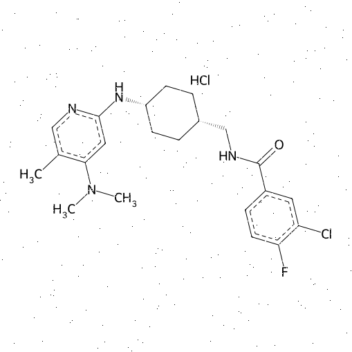 Cc1cnc(N[C@H]2CC[C@@H](CNC(=O)c3ccc(F)c(Cl)c3)CC2)cc1N(C)C.Cl